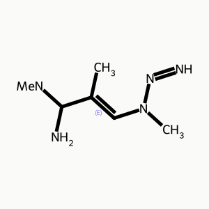 CNC(N)/C(C)=C/N(C)N=N